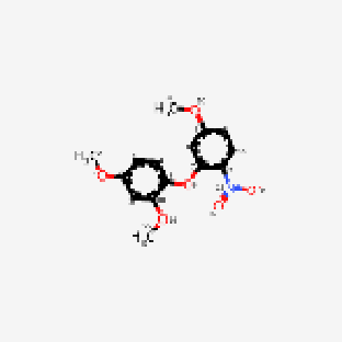 COc1ccc(Oc2cc(OC)ccc2[N+](=O)[O-])c(OC)c1